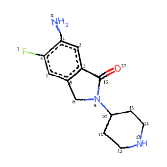 Nc1cc2c(cc1F)CN(C1CCNCC1)C2=O